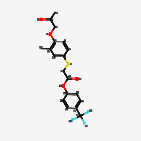 CC(=O)COc1ccc(SCC(=O)Oc2ccc(C(F)(F)F)cc2)cc1C